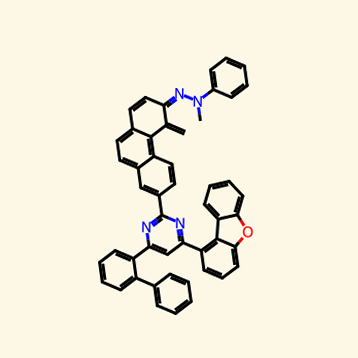 C=C1/C(=N\N(C)c2ccccc2)C=Cc2ccc3cc(-c4nc(-c5ccccc5-c5ccccc5)cc(-c5cccc6oc7ccccc7c56)n4)ccc3c21